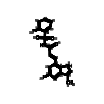 Cc1c[nH]c2c(C=CC(=O)NS(=O)(=O)c3ccccc3F)cc(F)cc12